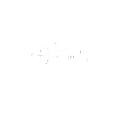 O=C1CC[C@@H](C(=O)OS(=O)(=O)C(F)(F)F)N1